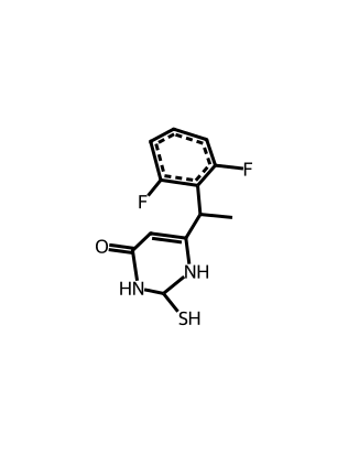 CC(C1=CC(=O)NC(S)N1)c1c(F)cccc1F